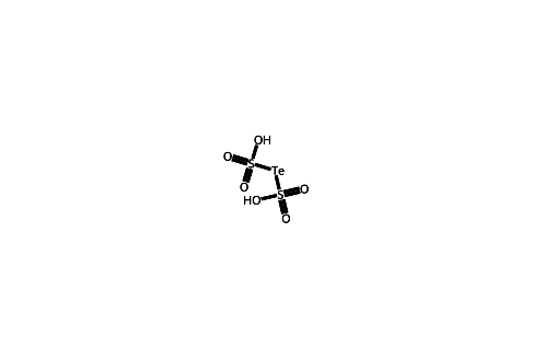 O=S(=O)(O)[Te]S(=O)(=O)O